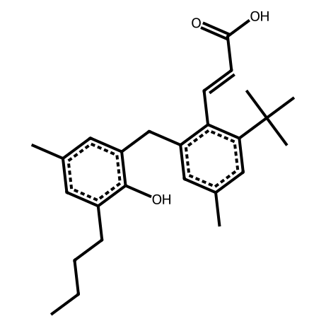 CCCCc1cc(C)cc(Cc2cc(C)cc(C(C)(C)C)c2C=CC(=O)O)c1O